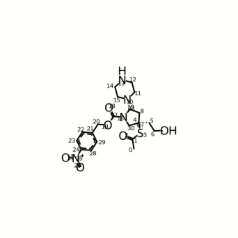 CC(=O)S[C@]1(CCO)C[C@@H](N2CCNCC2)N(C(=O)OCc2ccc([N+](=O)[O-])cc2)C1